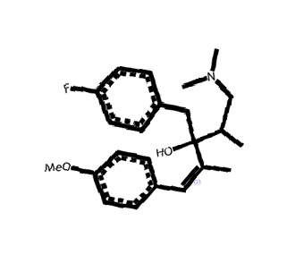 COc1ccc(/C=C(/C)C(O)(Cc2ccc(F)cc2)C(C)CN(C)C)cc1